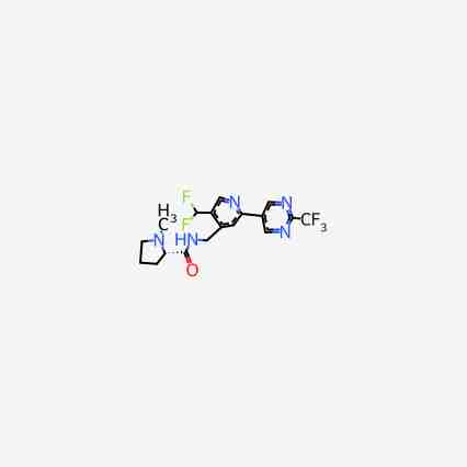 CN1CCC[C@H]1C(=O)NCc1cc(-c2cnc(C(F)(F)F)nc2)ncc1C(F)F